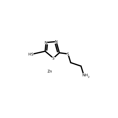 NCCSc1nnc(S)s1.[Zn]